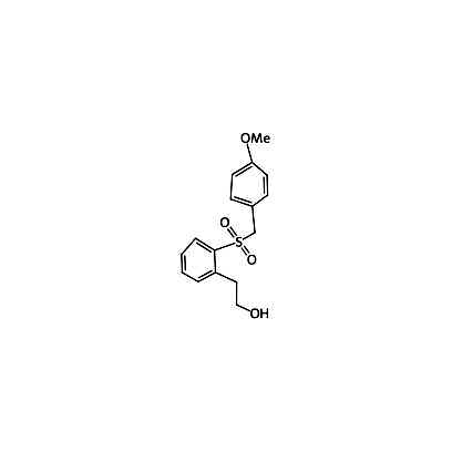 COc1ccc(CS(=O)(=O)c2ccccc2CCO)cc1